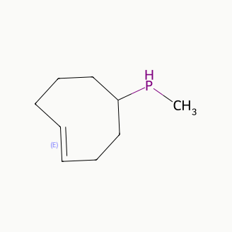 CPC1CC/C=C/CCC1